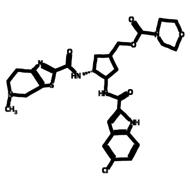 CN1CCc2nc(C(=O)N[C@@H]3CC(COC(=O)N4CCOCC4)CC3NC(=O)c3cc4cc(Cl)ccc4[nH]3)sc2C1